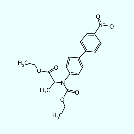 CCOC(=O)C(C)N(C(=O)OCC)c1ccc(-c2ccc([N+](=O)[O-])cc2)cc1